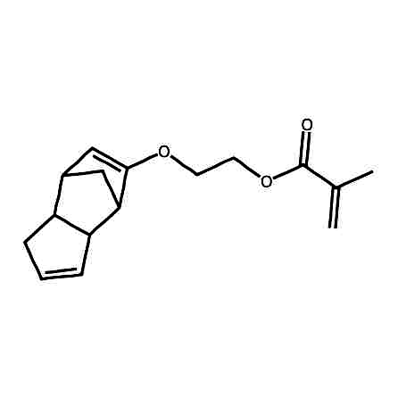 C=C(C)C(=O)OCCOC1=CC2CC1C1C=CCC21